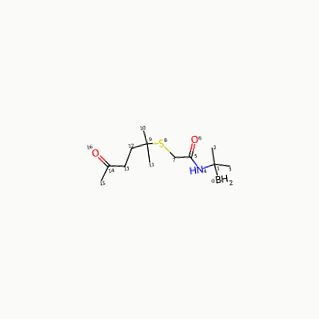 BC(C)(C)NC(=O)CSC(C)(C)CCC(C)=O